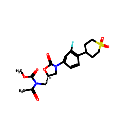 [CH2]OC(=O)N(C[C@H]1CN(c2ccc(C3CCS(=O)(=O)CC3)c(F)c2)C(=O)O1)C(C)=O